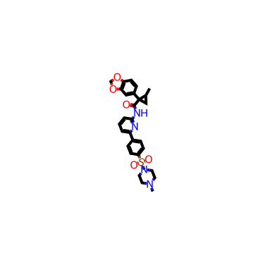 CC1CC1(C(=O)Nc1cccc(-c2ccc(S(=O)(=O)N3CCN(C)CC3)cc2)n1)c1ccc2c(c1)OCO2